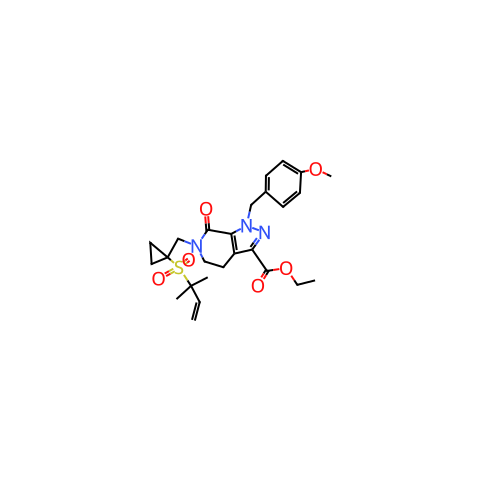 C=CC(C)(C)S(=O)(=O)C1(CN2CCc3c(C(=O)OCC)nn(Cc4ccc(OC)cc4)c3C2=O)CC1